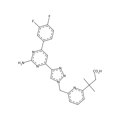 CC(C)(CC(=O)O)c1cccc(Cn2cc(-c3cc(-c4ccc(F)c(F)c4)nc(N)n3)nn2)n1